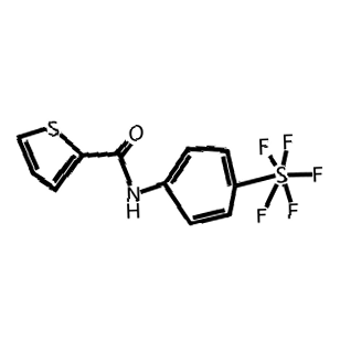 O=C(Nc1ccc(S(F)(F)(F)(F)F)cc1)c1cccs1